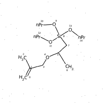 C=C(C)COC(C)C[Si](OCCC)(OCCC)OCCC